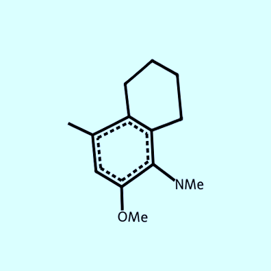 CNc1c(OC)cc(C)c2c1CCCC2